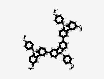 COc1ccc(-n2c3ccc(OC)cc3c3cc(-c4ccc5c(c4)c4cc(-c6ccc7c(c6)c6cc(OC)ccc6n7-c6ccc(OC)cc6)ccc4n5-c4ccc(OC)cc4)ccc32)cc1